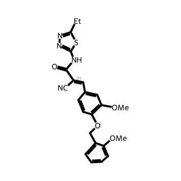 CCc1nnc(NC(=O)/C(C#N)=C/c2ccc(OCc3ccccc3OC)c(OC)c2)s1